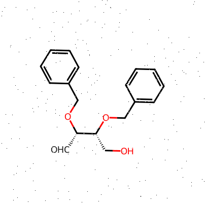 O=C[C@H](OCc1ccccc1)[C@@H](CO)OCc1ccccc1